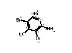 Br.Cc1c(Br)cnc(N)c1O